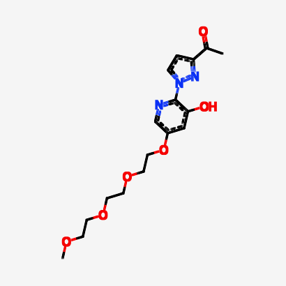 COCCOCCOCCOc1cnc(-n2ccc(C(C)=O)n2)c(O)c1